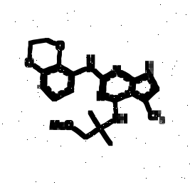 COCC(C)(C)Nc1nc(Nc2cc[c]c3c2OCCO3)nc2[nH]cc(C(F)(F)F)c12